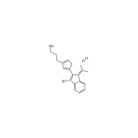 CC(C)=C1C(C2=CC(CCCO)=CC2)=[C]([Zr+2])c2ccccc21.[Cl-].[Cl-]